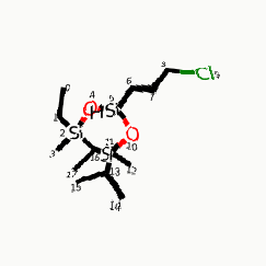 CC[Si]1(C)O[SiH](CCCCl)O[Si](C)(C(C)C)C1C